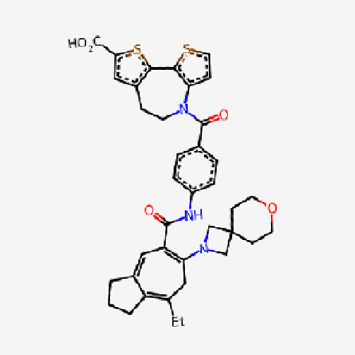 CCC1=C2CCCC2=CC(C(=O)Nc2ccc(C(=O)N3CCc4cc(C(=O)O)sc4-c4sccc43)cc2)=C(N2CC3(CCOCC3)C2)C1